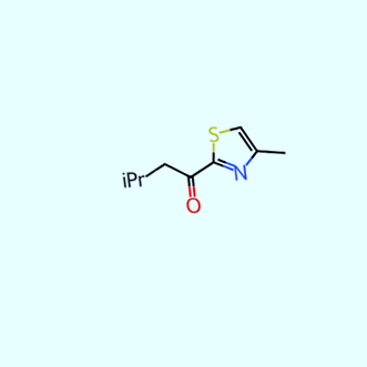 Cc1csc(C(=O)CC(C)C)n1